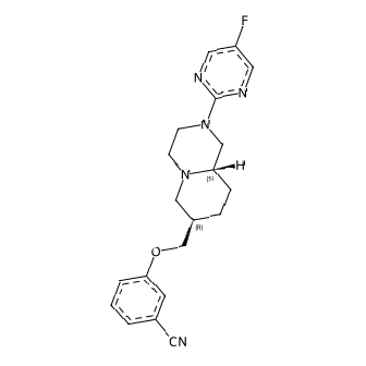 N#Cc1cccc(OC[C@@H]2CC[C@H]3CN(c4ncc(F)cn4)CCN3C2)c1